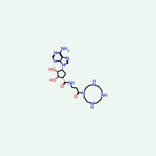 Nc1ncnc2c1ncn2[C@@H]1C[C@H](C(=O)NCCC(=O)N2CCNCCNCCNCC2)[C@@H](O)[C@H]1O